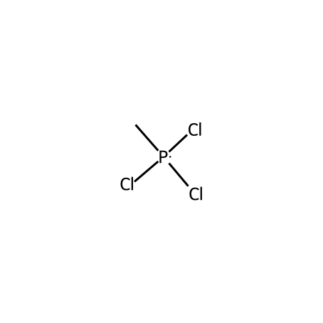 C[P](Cl)(Cl)Cl